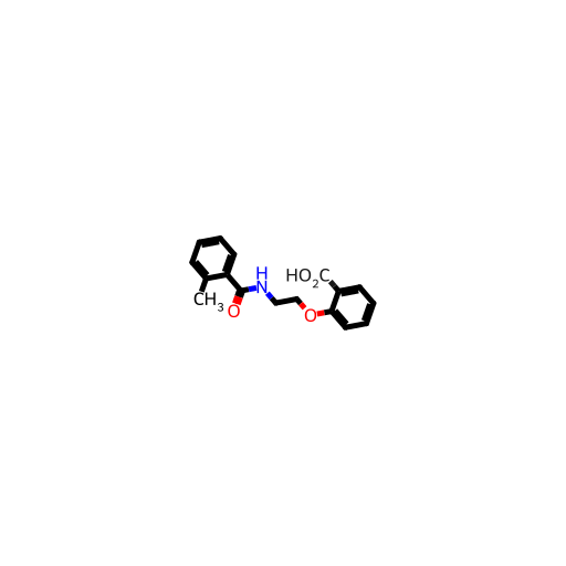 Cc1ccccc1C(=O)NCCOc1ccccc1C(=O)O